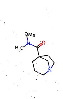 CON(C)C(=O)C12CCCN(CC1)C2